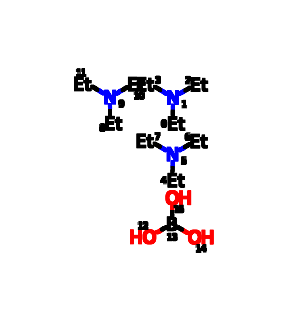 CCN(CC)CC.CCN(CC)CC.CCN(CC)CC.OB(O)O